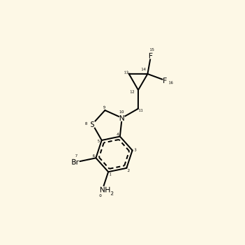 Nc1ccc2c(c1Br)SCN2CC1CC1(F)F